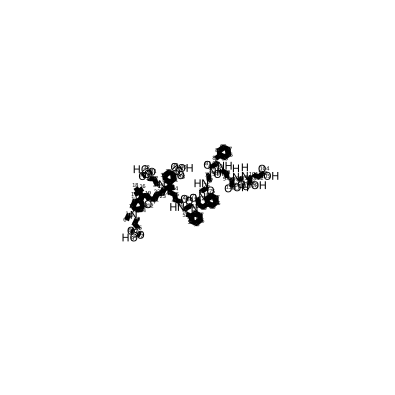 CCN(CCCS(=O)(=O)O)c1ccc2c(C(C)(C)C)cc(/C=C/C=C3\N(CCCS(=O)(=O)O)c4ccc(S(=O)(=O)O)cc4C3(C)CCCC(=O)N[C@@H](Cc3ccccc3)C(=O)NC(Cc3ccccc3)C(=O)NCC(=O)NCCNC(=O)[C@H](Cc3ccccc3)NC(=O)CC[C@H](NC(=O)N[C@@H](CCC(=O)O)C(=O)O)C(=O)O)[o+]c2c1